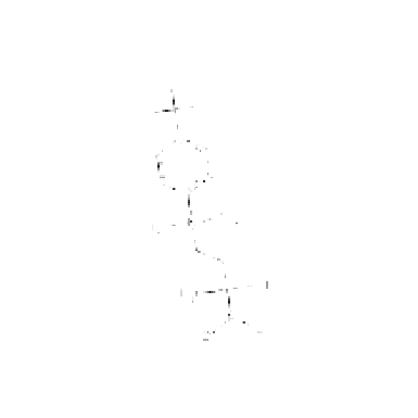 CC(C)(CC[N+](C)(C)c1ccc(C(F)(F)F)cn1)N(Cl)Cl